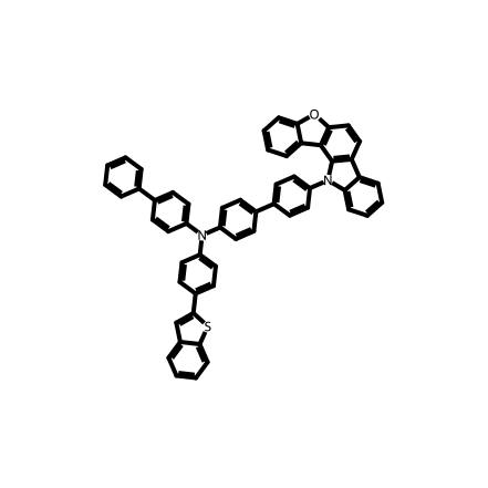 c1ccc(-c2ccc(N(c3ccc(-c4ccc(-n5c6ccccc6c6ccc7oc8ccccc8c7c65)cc4)cc3)c3ccc(-c4cc5ccccc5s4)cc3)cc2)cc1